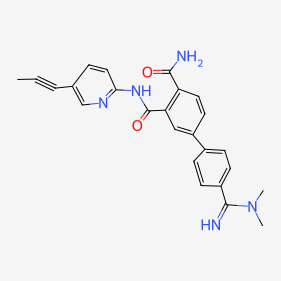 CC#Cc1ccc(NC(=O)c2cc(-c3ccc(C(=N)N(C)C)cc3)ccc2C(N)=O)nc1